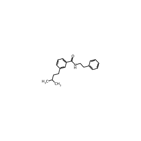 CC(C)CCc1cccc(C(=O)NCCc2ccccc2)c1